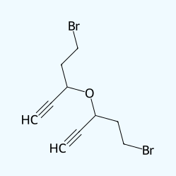 C#CC(CCBr)OC(C#C)CCBr